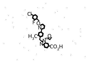 Cc1cc(-c2cccc(OCc3ccc(Cl)cc3F)n2)ccc1Cc1nc2ccc(C(=O)O)cc2n1C[C@@H]1CCO1